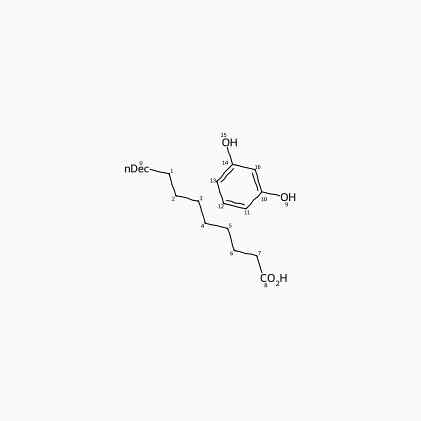 CCCCCCCCCCCCCCCCCC(=O)O.Oc1cccc(O)c1